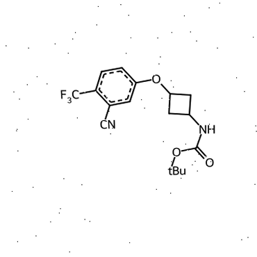 CC(C)(C)OC(=O)NC1CC(Oc2ccc(C(F)(F)F)c(C#N)c2)C1